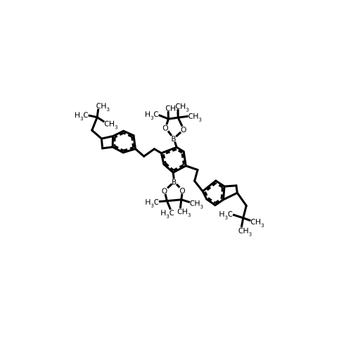 CC(C)(C)CC1Cc2cc(CCc3cc(B4OC(C)(C)C(C)(C)O4)c(CCc4ccc5c(c4)CC5CC(C)(C)C)cc3B3OC(C)(C)C(C)(C)O3)ccc21